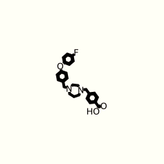 O=C(O)c1ccc(CN2CCCN(Cc3ccc(Oc4ccc(F)cc4)cc3)CC2)cc1